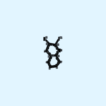 Fc1cc2ccccc2nc1I